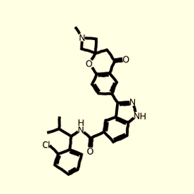 CC(C)C(NC(=O)c1ccc2[nH]nc(-c3ccc4c(c3)C(=O)CC3(CN(C)C3)O4)c2c1)c1ccccc1Cl